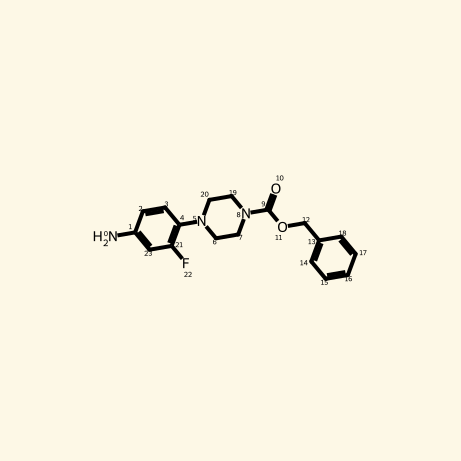 Nc1ccc(N2CCN(C(=O)OCc3ccccc3)CC2)c(F)c1